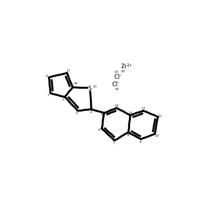 C1=CC2=CC(c3ccc4ccccc4c3)SC2=C1.[Cl-].[Cl-].[Zr+2]